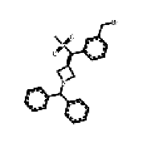 CS(=O)(=O)C(=C1CN(C(c2ccccc2)c2ccccc2)C1)c1cccc(CBr)c1